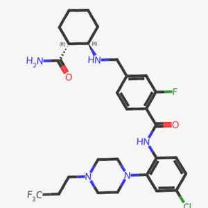 NC(=O)[C@@H]1CCCC[C@H]1NCc1ccc(C(=O)Nc2ccc(Cl)cc2N2CCN(CCC(F)(F)F)CC2)c(F)c1